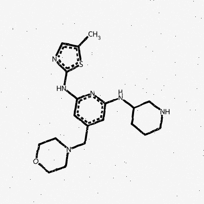 Cc1cnc(Nc2cc(CN3CCOCC3)cc(NC3CCCNC3)n2)s1